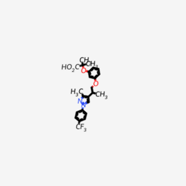 Cc1nn(-c2ccc(C(F)(F)F)cc2)cc1C(C)COc1cccc(OC(C)(C)C(=O)O)c1